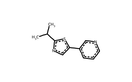 CC(C)c1ncc(-c2cccnc2)s1